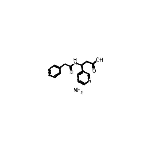 N.O=C(O)CC(NC(=O)Cc1ccccc1)c1cccnc1